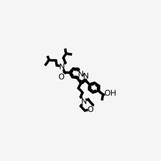 CC(C)CCN(CCC(C)C)C(=O)c1ccn2nc(-c3ccc(C(C)O)cc3)c(CCCN3CCOCC3)c2c1